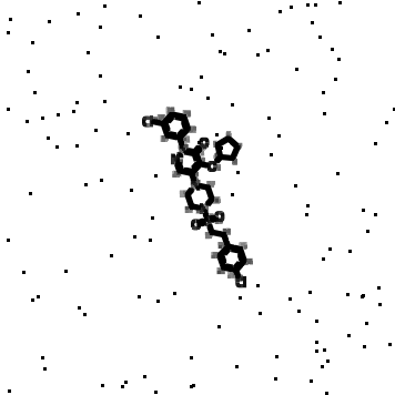 O=c1c(OC2CCCC2)c(N2CCN(S(=O)(=O)CCc3ccc(Cl)cc3)CC2)cnn1-c1cccc(Cl)c1